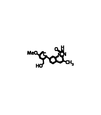 COc1ccc(-c2ccc3cc(C)c4n[nH]c(=O)n4c3c2)c(CO)c1